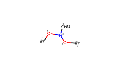 CC(C)ON(C=O)OC(C)C